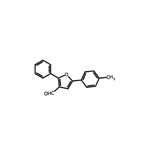 Cc1ccc(-c2cc(C=O)c(-c3ccccc3)o2)cc1